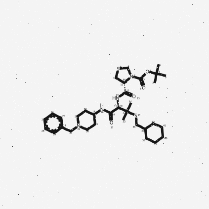 CC(C)(C)OC(=O)N1CSC[C@H]1C(=O)N[C@H](C(=O)NC1CCN(Cc2ccccc2)CC1)C(C)(C)SCC1CCCCC1